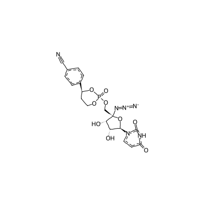 N#Cc1ccc([C@@H]2CCOP(=O)(OC[C@@]3(N=[N+]=[N-])O[C@@H](n4ccc(=O)[nH]c4=O)[C@H](O)[C@@H]3O)O2)cc1